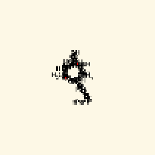 CCCCCOc1ccc(-c2ccc(-c3ccc(C(=O)N[C@H]4C[C@@H](O)[C@@H](O)NC(=O)[C@@H]5[C@@H](O)[C@@H](C)CN5C(=O)[C@H]([C@@H](C)O)NC(=O)[C@H]([C@H](O)[C@@H](O)c5ccc(O)cc5)NC(=O)[C@@H]5C[C@@H](O)CN5C(=O)[C@H]([C@@H](C)O)NC4=O)cc3F)cc2)cc1